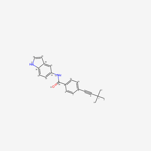 CC(C)(C)C#Cc1ccc(C(=O)Nc2ccc3[nH]ccc3c2)cc1